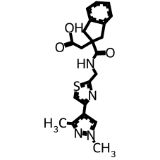 Cc1nn(C)cc1-c1csc(CNC(=O)C2(CC(=O)O)Cc3ccccc3C2)n1